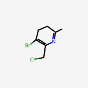 CC1=NC(CCl)=C(Br)CC1